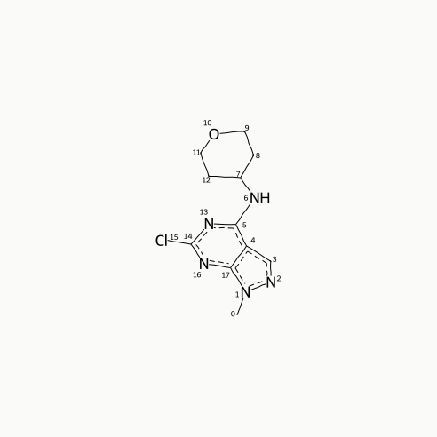 Cn1ncc2c(NC3CCOCC3)nc(Cl)nc21